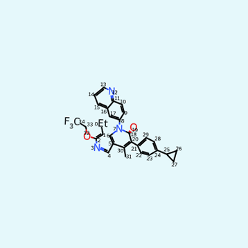 CC/C=C(/N=C\c1cn(-c2ccc3ncccc3c2)c(=O)c(-c2ccc(C3CC3)cc2)c1C)OCC(F)(F)F